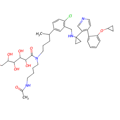 CC(=O)NCCCCN(CCCC(C)c1ccc(Cl)c(CNC2(c3cnccc3-c3ccccc3OC3CC3)CC2)c1)C(=O)C(O)C(O)C(O)C(O)CO